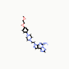 COCCOc1ccc(N2CCN(CCn3ncc4c3nc(N)n3ncnc43)CC2)cc1